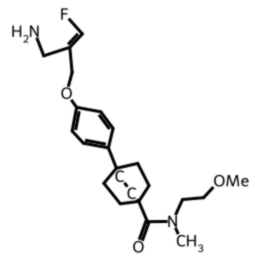 COCCN(C)C(=O)C12CCC(c3ccc(OCC(=CF)CN)cc3)(CC1)CC2